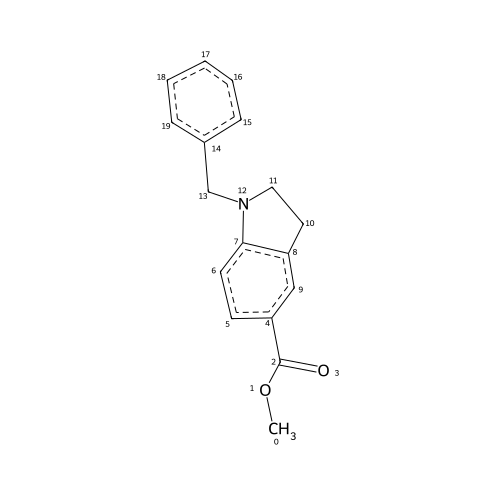 COC(=O)c1ccc2c(c1)CCN2Cc1ccccc1